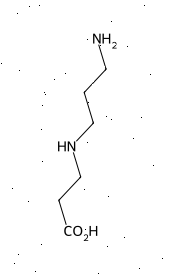 NCCCNCCC(=O)O